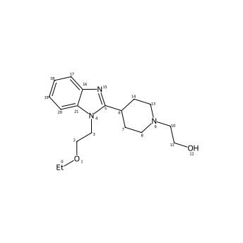 CCOCCn1c(C2CCN(CCO)CC2)nc2ccccc21